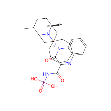 CC1CC[C@@H]2C[C@H](n3c(=O)c(C(=O)NP(=O)(O)O)nc4ccccc43)CC1N2C1CCCCCCC1